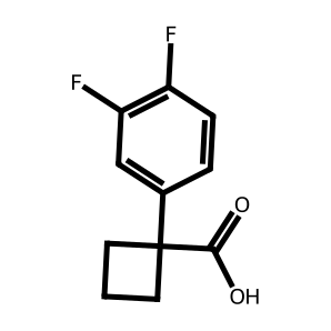 O=C(O)C1(c2ccc(F)c(F)c2)CCC1